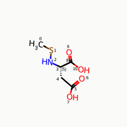 CSN[C@@H](CC(=O)O)C(=O)O